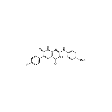 COc1ccc(Nc2nc3[nH]c(=O)c(-c4ccc(F)cc4)cc3c(=O)[nH]2)cc1